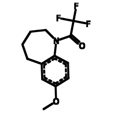 COc1ccc2c(c1)CCCCN2C(=O)C(F)(F)F